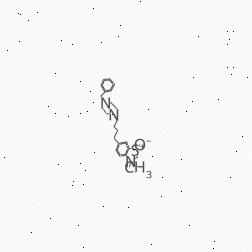 CN1C[S+]([O-])c2cc(CCCCN3CCN(Cc4ccccc4)CC3)ccc21